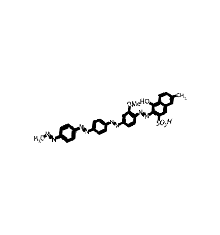 CN=Nc1ccc(N=Nc2ccc(N=Nc3ccc(N=Nc4c(S(=O)(=O)O)cc5cc(C)ccc5c4O)c(OC)c3)cc2)cc1